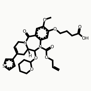 C=CCOC(=O)N1c2cc(OCCCC(=O)O)c(OC)cc2C(=O)N2CC=C(c3ccsc3)C[C@H]2C1OC1CCCCO1